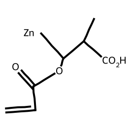 C=CC(=O)OC(C)C(C)C(=O)O.[Zn]